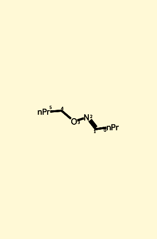 CCC/[C]=N/OCCCC